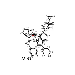 COc1ccc2c(c1)C1CC1C(C(=O)N1C3CCC1CN(C)C3)n1c-2c(C2CCCCC2)c2ccc(C(=O)NS(=O)(=O)C3CC3)cc21